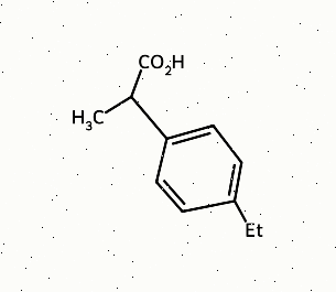 CCc1ccc(C(C)C(=O)O)cc1